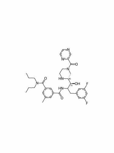 CCCN(CCC)C(=O)c1cc(C)cc(C(=O)NC(Cc2cc(F)cc(F)c2)[C@H](O)[C@H]2CN(C(=O)c3cnccn3)CCN2)c1